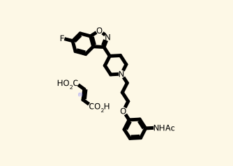 CC(=O)Nc1cccc(OCCCN2CCC(c3noc4cc(F)ccc34)CC2)c1.O=C(O)/C=C/C(=O)O